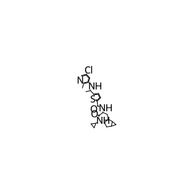 Cc1ncc(Cl)cc1NC(C)c1ccc(C(=O)NC(CC2CCC3CC23)C(=O)NC2CC2)s1